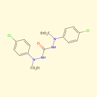 CCOC(=O)N(NC(=O)NN(C(=O)OCC)c1ccc(Cl)cc1)c1ccc(Cl)cc1